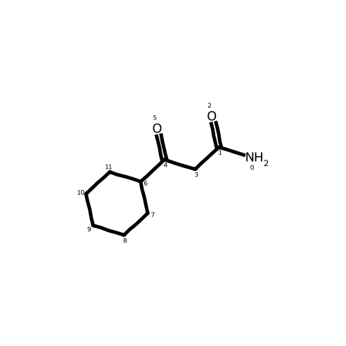 NC(=O)CC(=O)C1CCCCC1